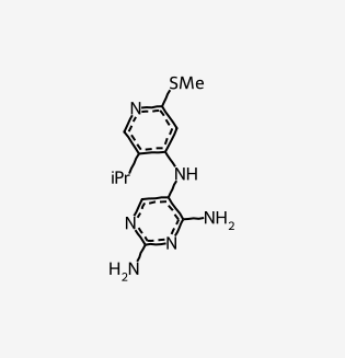 CSc1cc(Nc2cnc(N)nc2N)c(C(C)C)cn1